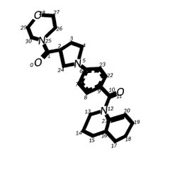 O=C(C1CCN(c2ccc(C(=O)N3CCCC4CCCC=C43)cc2)C1)N1CCOCC1